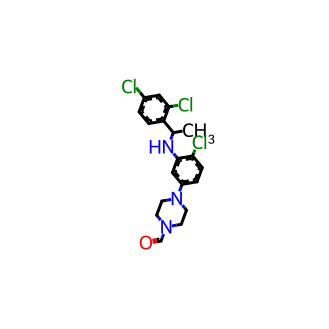 CC(Nc1cc(N2CCN(C=O)CC2)ccc1Cl)c1ccc(Cl)cc1Cl